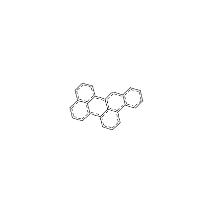 c1ccc2c(c1)cc1c3cccc4cccc(c5cccc2c51)c43